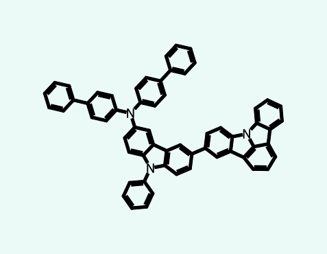 c1ccc(-c2ccc(N(c3ccc(-c4ccccc4)cc3)c3ccc4c(c3)c3cc(-c5ccc6c(c5)c5cccc7c8ccccc8n6c75)ccc3n4-c3ccccc3)cc2)cc1